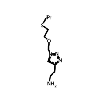 CC(C)SCCOCn1cc(CCN)nn1